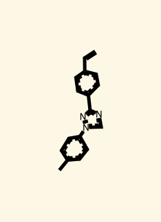 C=Cc1ccc(-c2ncn(-c3ccc(C)cc3)n2)cc1